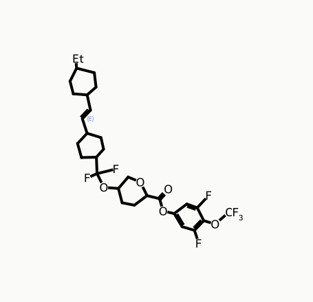 CCC1CCC(/C=C/C2CCC(C(F)(F)OC3CCC(C(=O)Oc4cc(F)c(OC(F)(F)F)c(F)c4)OC3)CC2)CC1